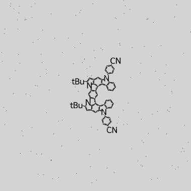 CC(C)(C)c1cc2cc3c(c4ccccc4n3-c3ccc(C#N)cc3)c3c4cc5c6c7c8ccccc8n(-c8ccc(C#N)cc8)c7cc7cc(C(C)(C)C)n(c5cc4n1c23)c76